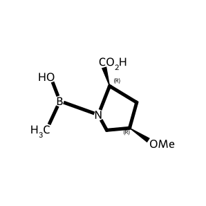 CO[C@@H]1C[C@H](C(=O)O)N(B(C)O)C1